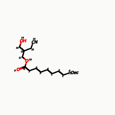 CCCCCCCCCCCCCCCCCC(=O)OCC(CO)CC#N